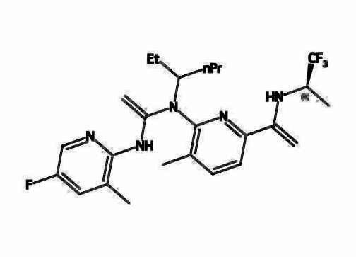 C=C(N[C@H](C)C(F)(F)F)c1ccc(C)c(N(C(=C)Nc2ncc(F)cc2C)C(CC)CCC)n1